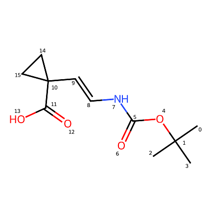 CC(C)(C)OC(=O)NC=CC1(C(=O)O)CC1